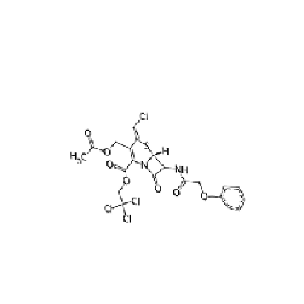 CC(=O)OCC1=C(C(=O)OCC(Cl)(Cl)Cl)N2C(=O)C(NC(=O)COc3ccccc3)[C@H]2S/C1=C\Cl